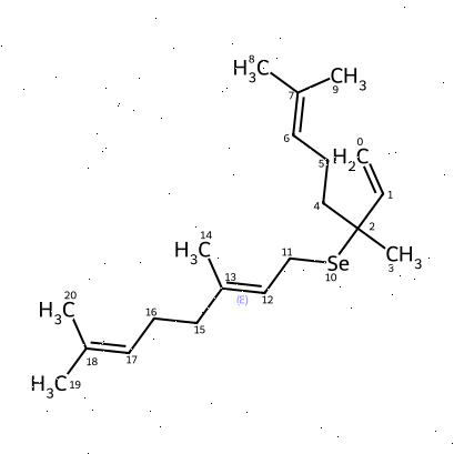 C=CC(C)(CCC=C(C)C)[Se]C/C=C(\C)CCC=C(C)C